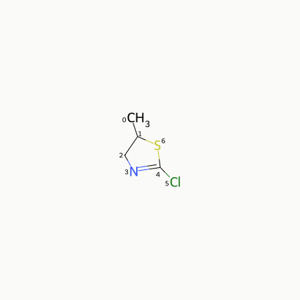 CC1CN=C(Cl)S1